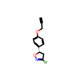 C#CCOc1ccc([C@@H]2CC(Br)=NO2)cc1